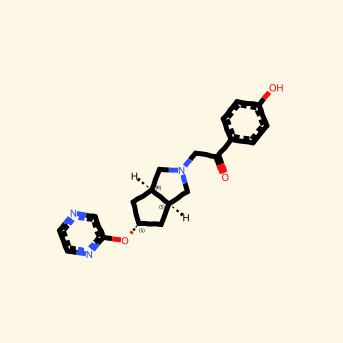 O=C(CN1C[C@H]2C[C@H](Oc3cnccn3)C[C@H]2C1)c1ccc(O)cc1